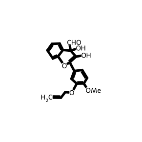 C=CCOc1cc(C2=C(O)C(O)(C=O)c3ccccc3O2)ccc1OC